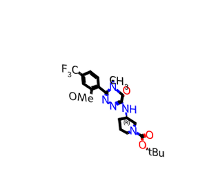 COc1cc(C(F)(F)F)ccc1-c1nnc(N[C@@H]2CCCN(C(=O)OC(C)(C)C)C2)c(=O)n1C